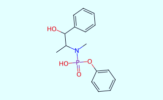 CC(C(O)c1ccccc1)N(C)P(=O)(O)Oc1ccccc1